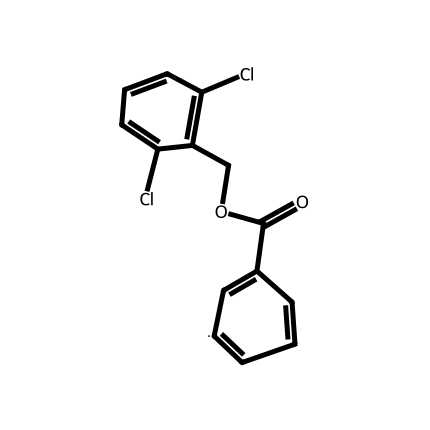 O=C(OCc1c(Cl)cccc1Cl)c1c[c]ccc1